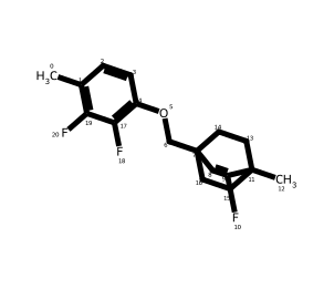 Cc1ccc(OCC23C=C(F)C(C)(CC2)CC3)c(F)c1F